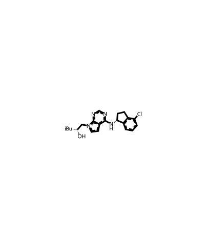 CC[C@@H](C)[C@@H](O)Cn1ccc2c(N[C@@H]3CCc4c(Cl)cccc43)ncnc21